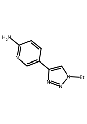 CCn1cc(-c2ccc(N)nc2)nn1